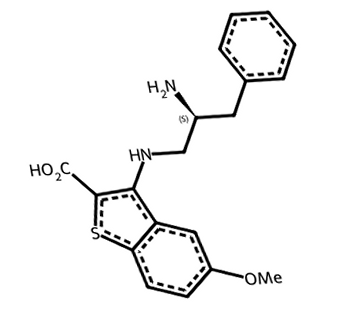 COc1ccc2sc(C(=O)O)c(NC[C@@H](N)Cc3ccccc3)c2c1